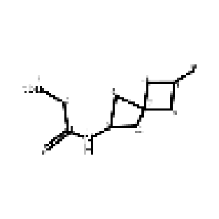 C=C(CC(C)(C)C)NC1CC2(CC(C)C2)C1